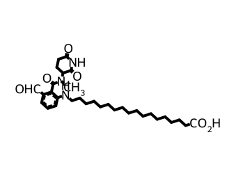 CN(C(=O)c1c(C=O)cccc1NCCCCCCCCCCCCCCCCCC(=O)O)C1CCC(=O)NC1=O